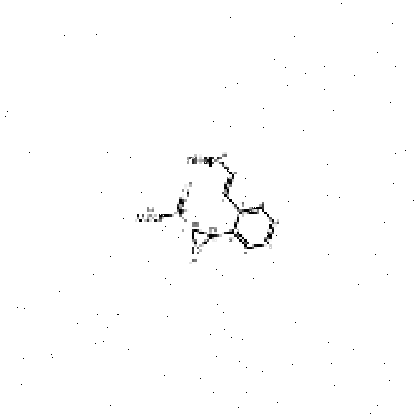 CCCCCCCC=Cc1ccccc1[C@H]1O[C@@H]1C(=O)OC